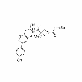 COC1(C(=O)NC(C#N)Cc2ncc(-c3ccc(C#N)cc3)cc2F)CN(C(=O)OC(C)(C)C)C1